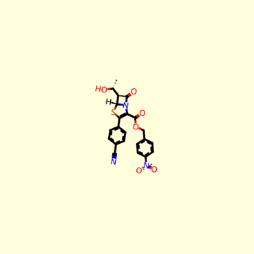 C[C@@H](O)[C@H]1C(=O)N2C(C(=O)OCc3ccc([N+](=O)[O-])cc3)=C(c3ccc(C#N)cc3)S[C@H]12